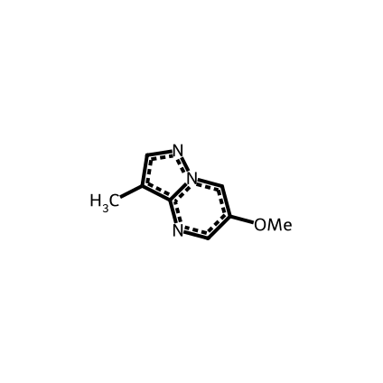 COc1cnc2c(C)cnn2c1